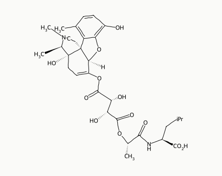 Cc1ccc(O)c2c1[C@]13CCN(C)[C@H](C)[C@]1(O)CC=C(OC(=O)[C@H](O)[C@@H](O)C(=O)O[C@@H](C)C(=O)N[C@@H](CC(C)C)C(=O)O)[C@@H]3O2